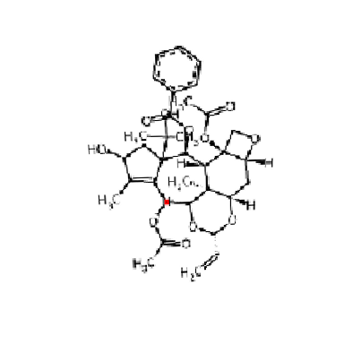 C=C[C@H]1O[C@H]2C[C@H]3OC[C@@]3(OC(C)=O)[C@H]3[C@H](OC(=O)c4ccccc4)C4(C(C)(C)O)C[C@H](O)C(C)=C4[C@H](OC(C)=O)[C@H](O1)[C@]23C